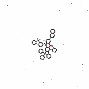 Cc1cc(-c2ccc3ccccc3c2)cc(-c2ccc3ccccc3c2)c1N(c1ccc2c(c1)C(C)(C)c1ccccc1-2)c1ccc2c(c1)C(c1ccccc1)(c1ccccc1)c1ccccc1-2